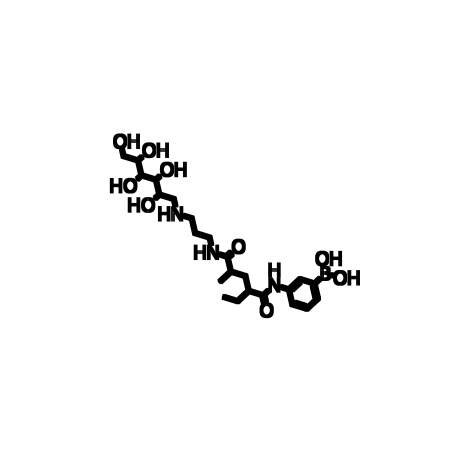 CCC(CC(C)C(=O)NCCCNCC(O)C(O)C(O)C(O)CO)C(=O)Nc1cccc(B(O)O)c1